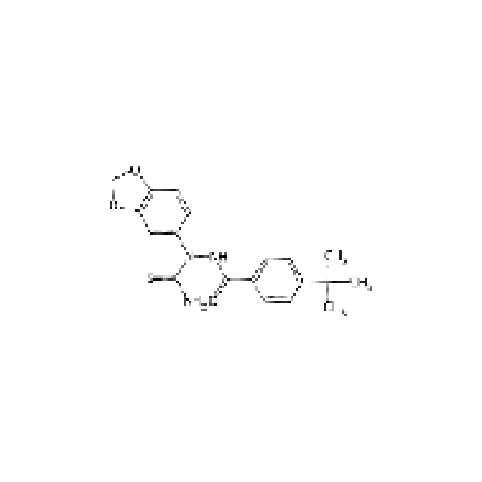 CC(C)(C)c1ccc(C(=O)NN(C(N)=S)c2ccc3c(c2)OCO3)cc1